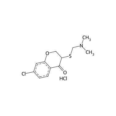 CN(C)CSC1COc2cc(Cl)ccc2C1=O.Cl